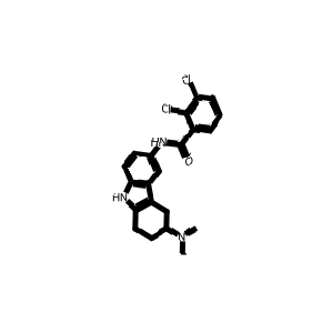 CN(C)C1CCc2[nH]c3ccc(NC(=O)c4cccc(Cl)c4Cl)cc3c2C1